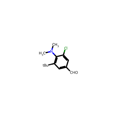 CN(C)c1c(Cl)cc(C=O)cc1C(C)(C)C